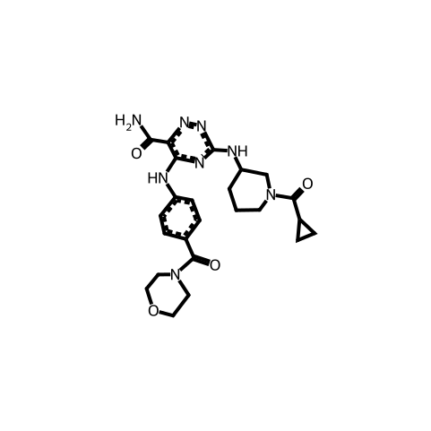 NC(=O)c1nnc(NC2CCCN(C(=O)C3CC3)C2)nc1Nc1ccc(C(=O)N2CCOCC2)cc1